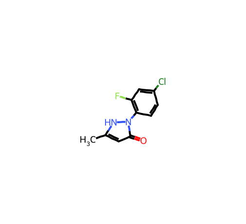 Cc1cc(=O)n(-c2ccc(Cl)cc2F)[nH]1